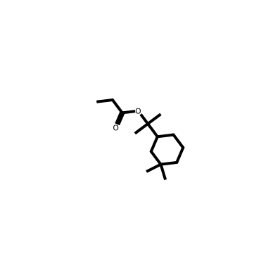 CCC(=O)OC(C)(C)C1CCCC(C)(C)C1